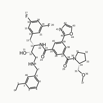 CCc1cccc(CNC[C@H](O)[C@H](Cc2cc(F)cc(F)c2)NC(=O)c2cc(C(=O)N3CCC[C@@H]3COC)cc(-c3ncco3)c2)c1